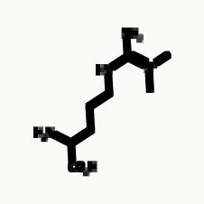 C[N+](C)=C(N)NCCCC(N)C(=O)O